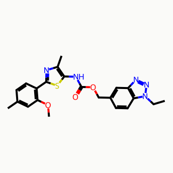 CCn1nnc2cc(COC(=O)Nc3sc(-c4ccc(C)cc4OC)nc3C)ccc21